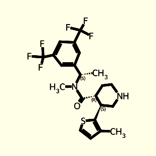 Cc1ccsc1[C@@H]1CNCC[C@H]1C(=O)N(C)[C@@H](C)c1cc(C(F)(F)F)cc(C(F)(F)F)c1